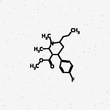 CCCC1CC(c2ccc(F)cc2)C(C(=O)OC)C(C)N1C